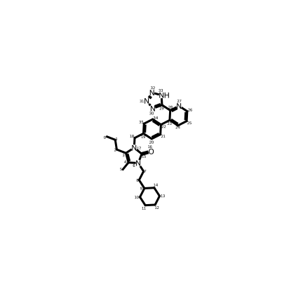 CCCc1c(C)n(CCC2CCCCC2)c(=O)n1Cc1ccc(-c2cccnc2-c2nnn[nH]2)cc1